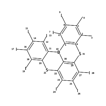 Cc1c(C)c2c(c(I)c1I)B1c3c(I)c(I)c(I)c(I)c3Sc3c(I)c(I)c(I)c(c31)S2